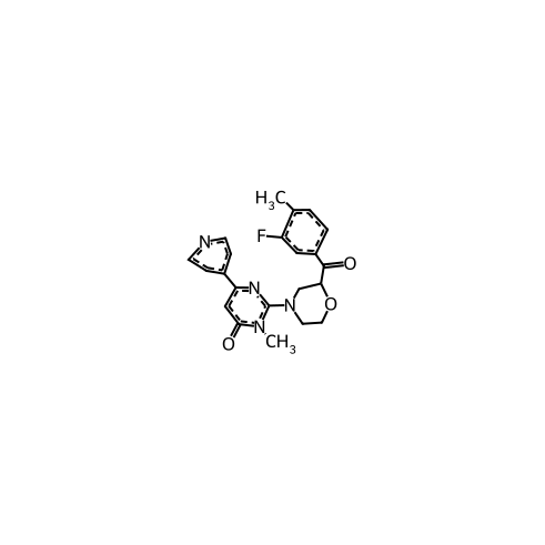 Cc1ccc(C(=O)C2CN(c3nc(-c4ccncc4)cc(=O)n3C)CCO2)cc1F